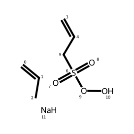 C=CC.C=CCS(=O)(=O)OO.[NaH]